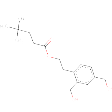 CC(C)(C#N)CCC(=O)OCCc1ccc(CO)cc1CO